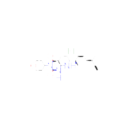 C#C/C(C)=C/C=C(/F)C(=C)[C@@H]1Nc2[nH]c(=O)n(C3CCOCC3)c(=O)c2C[C@@H]1F